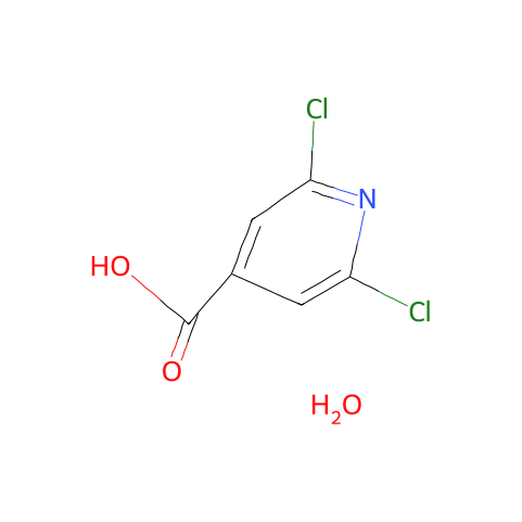 O.O=C(O)c1cc(Cl)nc(Cl)c1